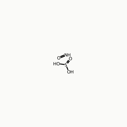 N=O.O=S(O)O